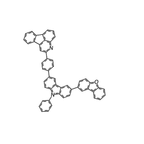 c1ccc(-n2c3ccc(-c4ccc(-c5cc6c7c(cccc7n5)-c5ccccc5-6)cc4)cc3c3cc(-c4ccc5oc6ccccc6c5c4)ccc32)cc1